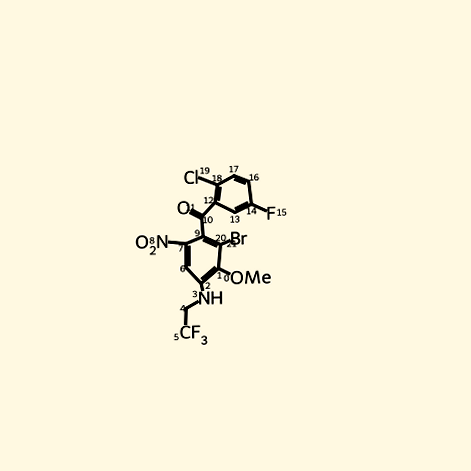 COc1c(NCC(F)(F)F)cc([N+](=O)[O-])c(C(=O)c2cc(F)ccc2Cl)c1Br